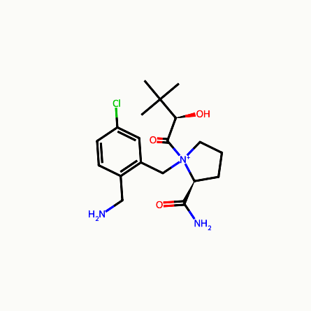 CC(C)(C)[C@@H](O)C(=O)[N+]1(Cc2cc(Cl)ccc2CN)CCC[C@H]1C(N)=O